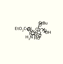 CCOC(=O)c1cnn(-c2nc(N)c3ncn(C4OC(CO[Si](C)(C)C(C)(C)C)[C@@H](CC(C)(C)[Si](C)(C)O)[C@H]4CC(C)(C)[Si](C)(C)O)c3n2)c1